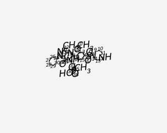 COc1cc(S(=O)(=O)N2CCCNCC2)ccc1-c1nc2c(C)nn(C3CCCCC3)c2c(=O)[nH]1.CS(=O)(=O)O